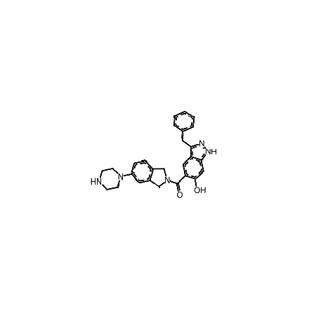 O=C(c1cc2c(Cc3ccccc3)n[nH]c2cc1O)N1Cc2ccc(N3CCNCC3)cc2C1